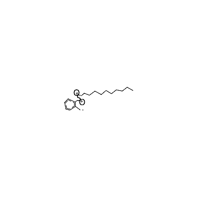 [CH2]c1ccccc1S(=O)(=O)CCCCCCCCCC